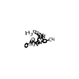 C#Cc1ccc2c(c1)-c1nnc(COC)n1Cc1c(C3=N[C@@H](c4ccccc4)CO3)ncn1-2